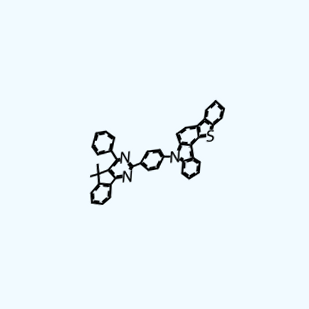 CC1(C)c2ccccc2-c2nc(-c3ccc(-n4c5ccccc5c5c6sc7ccccc7c6ccc54)cc3)nc(-c3ccccc3)c21